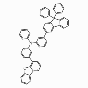 c1ccc(N(c2cccc(-c3ccc4c(c3)-c3ccccc3C4(c3ccccc3)c3ccccc3)c2)c2cccc(-c3cccc4c3oc3ccccc34)c2)cc1